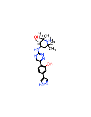 CC1(C)CC(Nc2ncc(-c3ccc(-c4cn[nH]c4)cc3O)nn2)[C@H](CO)C(C)(C)N1